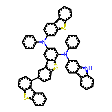 c1ccc(N(c2ccc3c(c2)sc2ccccc23)c2cc(N(c3ccccc3)c3ccc4c(c3)[nH]c3ccccc34)c3sc4ccc(-c5cccc6sc7ccccc7c56)cc4c3c2)cc1